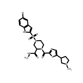 CNC(=O)C1CN(S(=O)(=O)c2cc3cc(Cl)ccc3[nH]2)CCN1C(=O)c1ncc(C2CCN(C)C2)s1